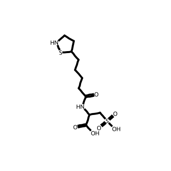 O=C(CCCCC1CCNS1)NC(CS(=O)(=O)O)C(=O)O